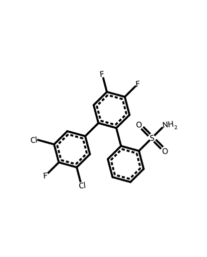 NS(=O)(=O)c1ccccc1-c1cc(F)c(F)cc1-c1cc(Cl)c(F)c(Cl)c1